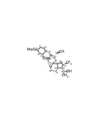 C#C[C@@H]1CC2(CCN1Cc1ccc(OC)cc1OC)OCCc1c2sc(C(F)(F)F)c1C(C)O